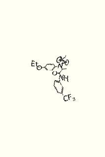 CCOc1ccc(N(C(C)C(=O)Nc2cccc(C(F)(F)F)c2)S(C)(=O)=O)cc1